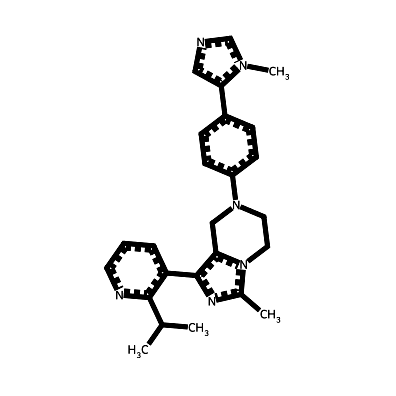 Cc1nc(-c2cccnc2C(C)C)c2n1CCN(c1ccc(-c3cncn3C)cc1)C2